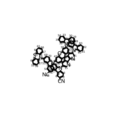 N#Cc1ccc2c(c1)c1ccccc1n2-c1cnc2c(c1)C1(c3ccc(-n4c5ccccc5c5ccccc54)cc3Oc3cc(-n4c5ccc(C#N)cc5c5cc(N6c7ccccc7Sc7ccccc76)ccc54)ccc31)c1cc(-n3c4ccccc4c4ccccc43)cnc1-2